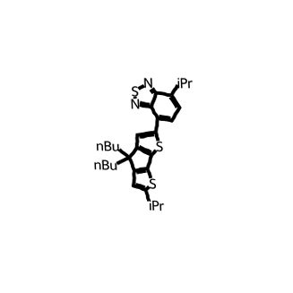 CCCCC1(CCCC)c2cc(-c3ccc(C(C)C)c4nsnc34)sc2-c2sc(C(C)C)cc21